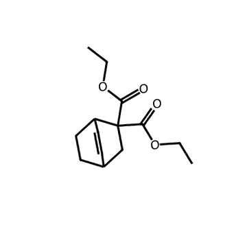 CCOC(=O)C1(C(=O)OCC)CC2C=CC1CC2